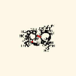 CC(C)C[C@H](C(=O)N[C@H]1C(=O)C[C@@H](CC(N)=O)C(=O)N[C@H]2C(=O)C[C@H]3C(=O)N[C@H](C(=O)N[C@H](C(=O)O)c4cc(O)cc(O)c4-c4cc3ccc4O)[C@H](OC3CC(C)(NC(=O)OC(C)(C)C)C(O)C(C)O3)c3ccc(c(Cl)c3)Oc3cc2cc(c3OC2OC(CO)C(O)C(O)C2O)Oc2ccc(cc2Cl)[C@H]1O)N(C)C(=O)OC(C)(C)C